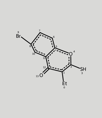 CCc1c(S)oc2ccc(Br)cc2c1=O